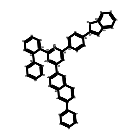 c1ccc(-c2ccc3cc(-c4cc(-c5ccc(-c6cc7ccccc7s6)cc5)nc(-c5ccccc5-c5ccccc5)n4)ccc3c2)cc1